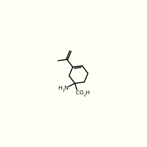 C=C(C)C1=CCCC(N)(C(=O)O)C1